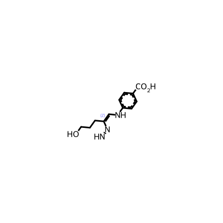 N=N/C(=C\Nc1ccc(C(=O)O)cc1)CCCO